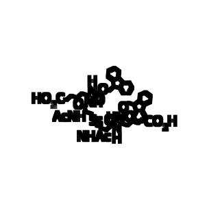 CC(=O)N[C@@H](CSSC[C@H](NC(C)=O)C(=O)NC(CCCCC(=O)O)NC(=O)OCC1c2ccccc2-c2ccccc21)C(=O)NC(CCCCC(=O)O)NC(=O)OCC1c2ccccc2-c2ccccc21